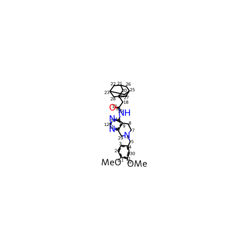 COc1ccc(CN2CCc3c(ncnc3NC(=O)CC34CC5CC(CC(C5)C3)C4)C2)cc1OC